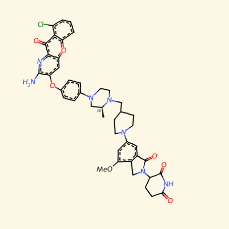 COc1cc(N2CCC(CN3CCN(c4ccc(Oc5cc6oc7cccc(Cl)c7c(=O)c6nc5N)cc4)C[C@@H]3C)CC2)cc2c1CN(C1CCC(=O)NC1=O)C2=O